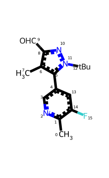 Cc1ncc(-c2c(C)c(C=O)nn2C(C)(C)C)cc1F